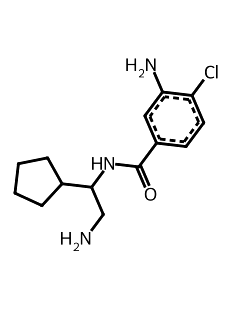 NCC(NC(=O)c1ccc(Cl)c(N)c1)C1CCCC1